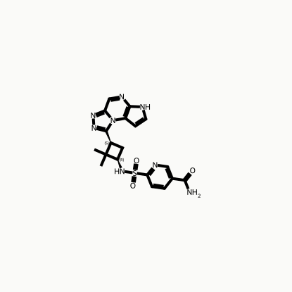 CC1(C)[C@@H](c2nnc3cnc4[nH]ccc4n23)C[C@H]1NS(=O)(=O)c1ccc(C(N)=O)cn1